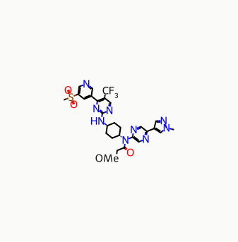 COCC(=O)N(c1cnc(-c2cnn(C)c2)cn1)[C@H]1CC[C@H](Nc2ncc(C(F)(F)F)c(-c3cncc(S(C)(=O)=O)c3)n2)CC1